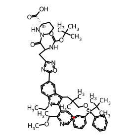 CCn1c(-c2cccnc2C(C)OC)c(CC(C)(C)CO[Si](c2ccccc2)(c2ccccc2)C(C)(C)C)c2cc(-c3nc(CC(NC(=O)OC(C)(C)C)C(=O)N4CCC[C@@H](C(=O)O)N4)no3)ccc21